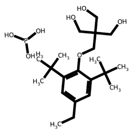 CCc1cc(C(C)(C)C)c(OCC(CO)(CO)CO)c(C(C)(C)C)c1.OP(O)O